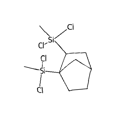 C[Si](Cl)(Cl)C1CC2CCC1([Si](C)(Cl)Cl)C2